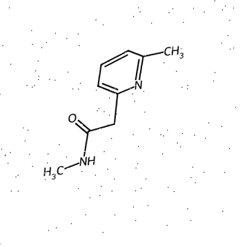 CNC(=O)Cc1cccc(C)n1